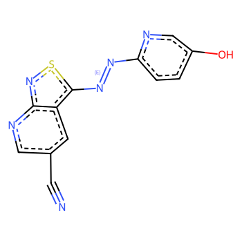 N#Cc1cnc2nsc(/N=N/c3ccc(O)cn3)c2c1